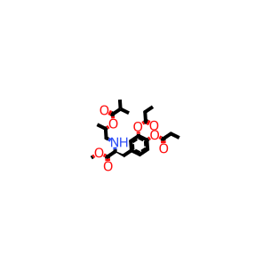 CCC(=O)Oc1ccc(C[C@H](NCC(C)OC(=O)C(C)C)C(=O)OC)cc1OC(=O)CC